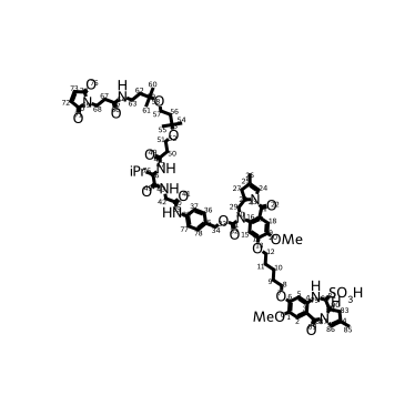 COc1cc2c(cc1OCCCCCOc1cc3c(cc1OC)C(=O)N1C=C(C)CC1CN3C(=O)OCc1ccc(NC(=O)CNC(=O)C(NC(=O)CCOC(C)(C)CCOC(C)(C)CCNC(=O)CCN3C(=O)C=CC3=O)C(C)C)cc1)NC(S(=O)(=O)O)[C@@H]1CC(C)=CN1C2=O